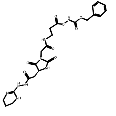 O=C(CN1C(=O)N[C@@H](CC(=O)NNC2=NCCCN2)C1=O)NCCC(=O)ONC(=O)OCc1ccccc1